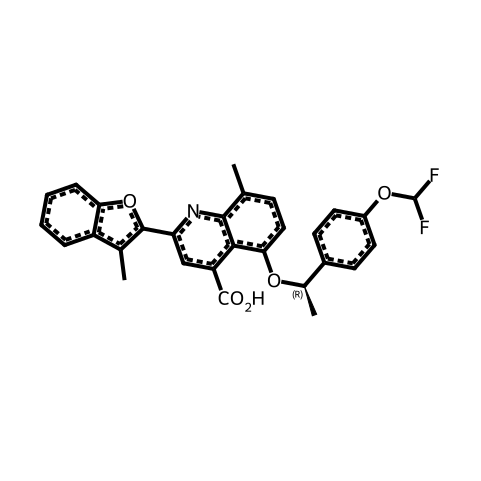 Cc1c(-c2cc(C(=O)O)c3c(O[C@H](C)c4ccc(OC(F)F)cc4)ccc(C)c3n2)oc2ccccc12